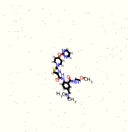 COCCNC(=O)c1cc(CN(C)C)ccc1NC(=O)c1csc(N2CCC(Oc3ncccn3)CC2)n1